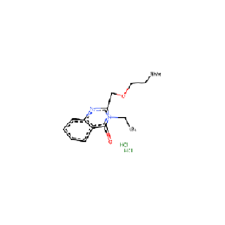 CNCCOCc1nc2ccccc2c(=O)n1CC(C)(C)C.Cl.Cl